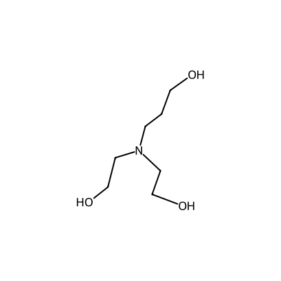 OCCCN(CCO)CCO